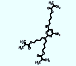 C=C(C)C(=O)OCCCCNc1nc(N)nc(N(CCCCOC(=O)C(=C)C)CCCCOC(=O)C(=C)C)n1